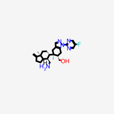 C=C1CC[C@H]2[C@H](CN)[C@@H]([C@@]3(C)Cc4cnn(-c5ncc(F)cn5)c4C[C@@H]3CO)CC[C@]12C